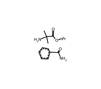 CCCOC(=O)C(C)(C)N.NC(=O)c1ccccc1